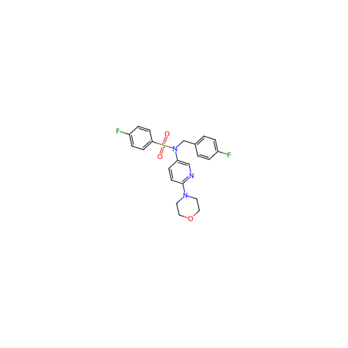 O=S(=O)(c1ccc(F)cc1)N(Cc1ccc(F)cc1)c1ccc(N2CCOCC2)nc1